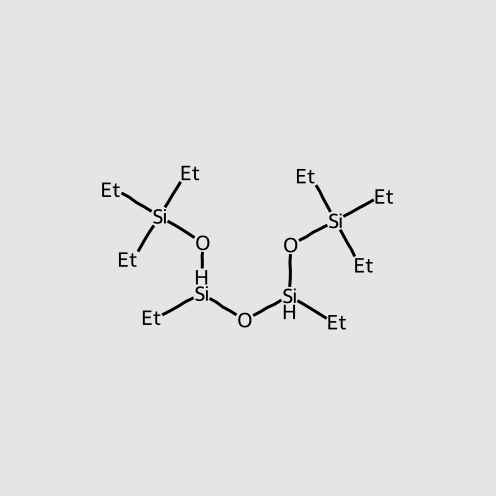 CC[SiH](O[SiH](CC)O[Si](CC)(CC)CC)O[Si](CC)(CC)CC